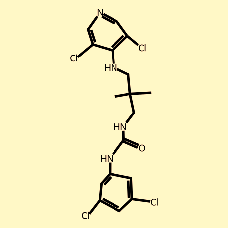 CC(C)(CNC(=O)Nc1cc(Cl)cc(Cl)c1)CNc1c(Cl)cncc1Cl